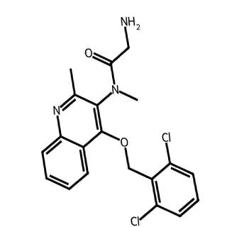 Cc1nc2ccccc2c(OCc2c(Cl)cccc2Cl)c1N(C)C(=O)CN